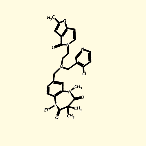 CCN1C(=O)C(C)(C)C(=O)N(C)c2cc(CN(CCn3ccc4oc(C)cc4c3=O)Cc3cnccc3Cl)ccc21